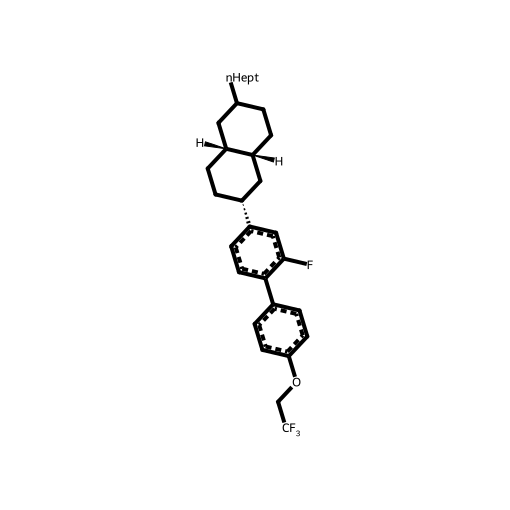 CCCCCCCC1CC[C@@H]2C[C@H](c3ccc(-c4ccc(OCC(F)(F)F)cc4)c(F)c3)CC[C@@H]2C1